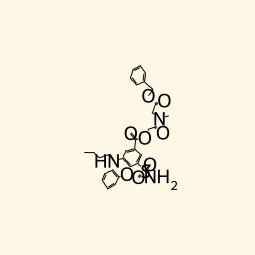 CCCCNc1cc(C(=O)OCC(=O)N(C)CC(=O)OCc2ccccc2)cc(S(N)(=O)=O)c1Oc1ccccc1